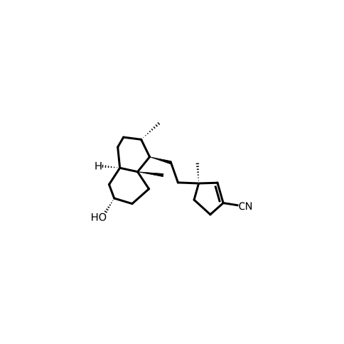 C[C@H]1CC[C@@H]2C[C@@H](O)CC[C@@]2(C)[C@@H]1CC[C@@]1(C)C=C(C#N)CC1